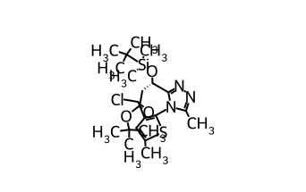 Cc1cc(CCl)c(-n2c(C)nnc2[C@H](CC(=O)OC(C)(C)C)O[Si](C)(C)C(C)(C)C)s1